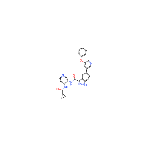 O=C(Nc1cnccc1NC(O)C1CC1)c1n[nH]c2ccc(-c3cncc(Oc4ccccc4)c3)cc12